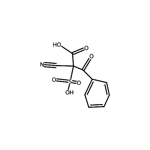 N#CC(C(=O)O)(C(=O)c1ccccc1)S(=O)(=O)O